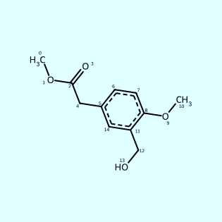 COC(=O)Cc1ccc(OC)c(CO)c1